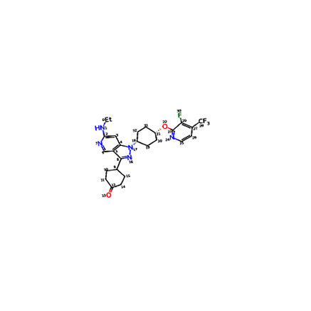 CCNc1cc2c(cn1)c(C1CCC(=O)CC1)nn2[C@H]1CC[C@@H](Oc2nccc(C(F)(F)F)c2F)CC1